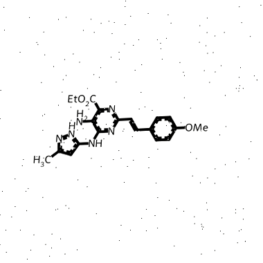 CCOC(=O)c1nc(/C=C/c2ccc(OC)cc2)nc(Nc2cc(C)n[nH]2)c1N